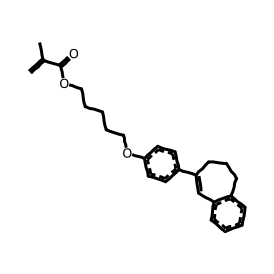 C=C(C)C(=O)OCCCCCOc1ccc(C2=Cc3ccccc3CCC2)cc1